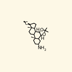 C=C=C1CCC2C3C(CC[C@]12C)[C@@]1(C)CC[C@H](N)CC1[C@H]1OC(C)(C)O[C@H]31